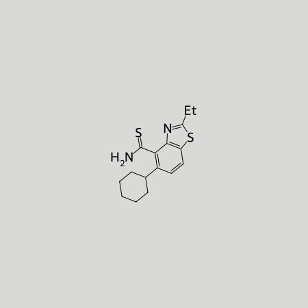 CCc1nc2c(C(N)=S)c(C3CCCCC3)ccc2s1